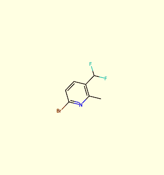 Cc1nc(Br)ccc1C(F)F